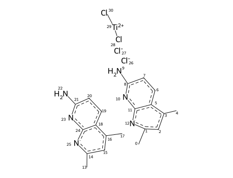 Cc1cc(C)c2ccc(N)nc2n1.Cc1cc(C)c2ccc(N)nc2n1.[Cl-].[Cl-].[Cl][Ti+2][Cl]